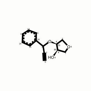 C#CC(O[C@H]1COC[C@H]1O)c1ccccc1